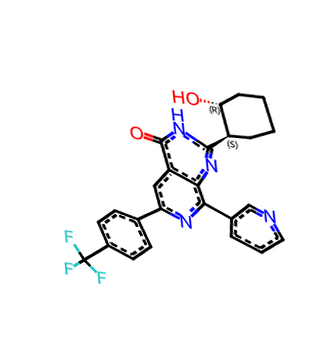 O=c1[nH]c([C@@H]2CCCC[C@H]2O)nc2c(-c3cccnc3)nc(-c3ccc(C(F)(F)F)cc3)cc12